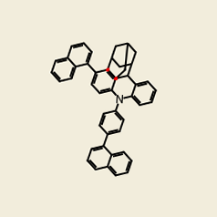 c1ccc(N(c2ccc(-c3cccc4ccccc34)cc2)c2ccc(-c3cccc4ccccc34)cc2)c(C2C3CC4CC(C3)CC2C4)c1